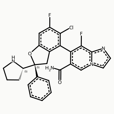 NC(=O)c1cn2ccnc2c(F)c1-c1c(Cl)c(F)cc2c1C[C@](c1ccccc1)([C@@H]1CCCN1)O2